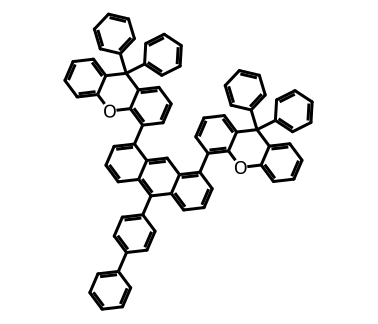 c1ccc(-c2ccc(-c3c4cccc(-c5cccc6c5Oc5ccccc5C6(c5ccccc5)c5ccccc5)c4cc4c(-c5cccc6c5Oc5ccccc5C6(c5ccccc5)c5ccccc5)cccc34)cc2)cc1